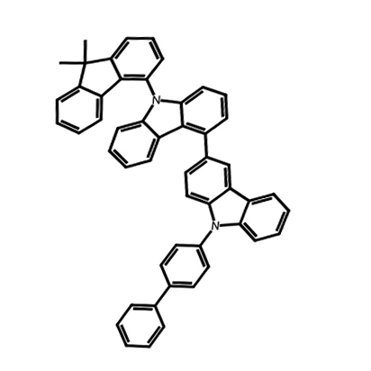 CC1(C)c2ccccc2-c2c(-n3c4ccccc4c4c(-c5ccc6c(c5)c5ccccc5n6-c5ccc(-c6ccccc6)cc5)cccc43)cccc21